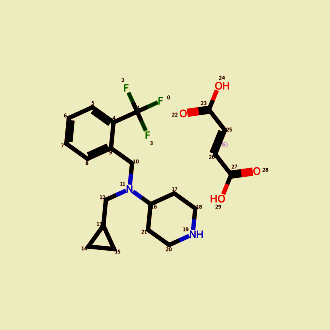 FC(F)(F)c1ccccc1CN(CC1CC1)C1CCNCC1.O=C(O)/C=C/C(=O)O